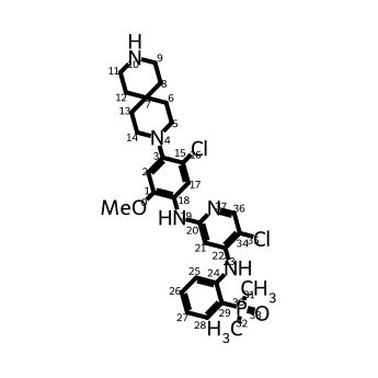 COc1cc(N2CCC3(CCNCC3)CC2)c(Cl)cc1Nc1cc(Nc2ccccc2P(C)(C)=O)c(Cl)cn1